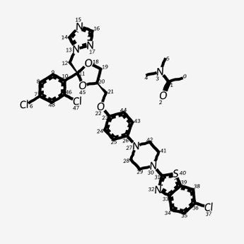 CC(=O)N(C)C.Clc1ccc([C@]2(Cn3cncn3)OC[C@@H](COc3ccc(N4CCN(c5nc6ccc(Cl)cc6s5)CC4)cc3)O2)c(Cl)c1